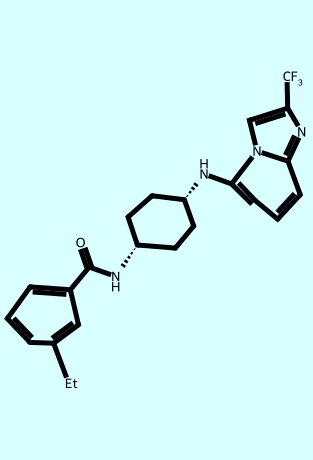 CCc1cccc(C(=O)N[C@H]2CC[C@@H](Nc3cccc4nc(C(F)(F)F)cn34)CC2)c1